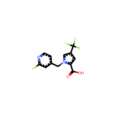 O=C(O)c1cc(C(F)(F)F)cn1Cc1ccnc(F)c1